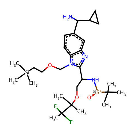 CC(C)(C)[S@@+]([O-])NC(COC(C)(C)C(C)(F)F)c1nc2cc(C(N)C3CC3)ccc2n1COCC[Si](C)(C)C